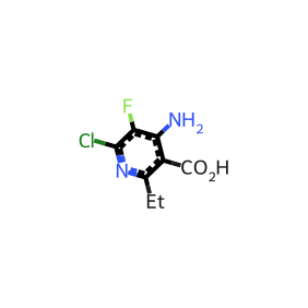 CCc1nc(Cl)c(F)c(N)c1C(=O)O